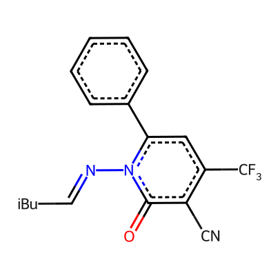 CCC(C)C=Nn1c(-c2ccccc2)cc(C(F)(F)F)c(C#N)c1=O